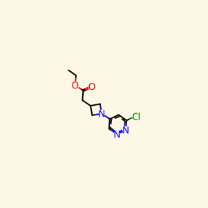 CCOC(=O)CC1CN(c2cnnc(Cl)c2)C1